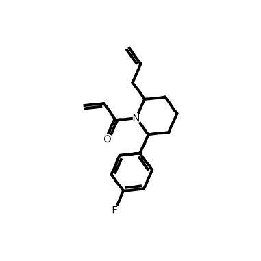 C=CCC1CCCC(c2ccc(F)cc2)N1C(=O)C=C